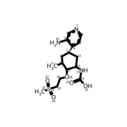 CC1C[C@@H](c2ccncc2N)CC(NC(=O)O)C1OCCS(C)(=O)=O